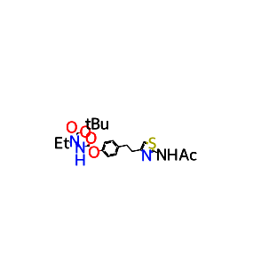 CCN(NC(=O)Oc1ccc(CCc2csc(NC(C)=O)n2)cc1)C(=O)OC(C)(C)C